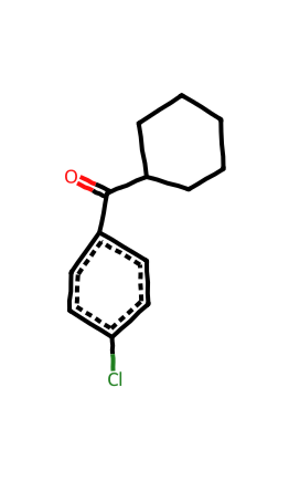 O=C(c1ccc(Cl)cc1)C1CCCCC1